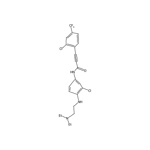 CCN(CC)CCNc1ccc(NC(=O)C#Cc2ccc(C(F)(F)F)cc2Cl)cc1Cl